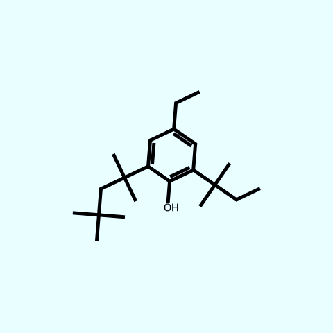 CCc1cc(C(C)(C)CC)c(O)c(C(C)(C)CC(C)(C)C)c1